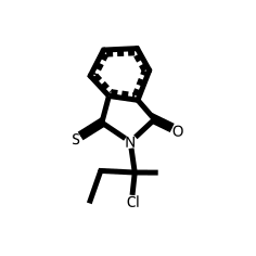 CCC(C)(Cl)N1C(=O)c2ccccc2C1=S